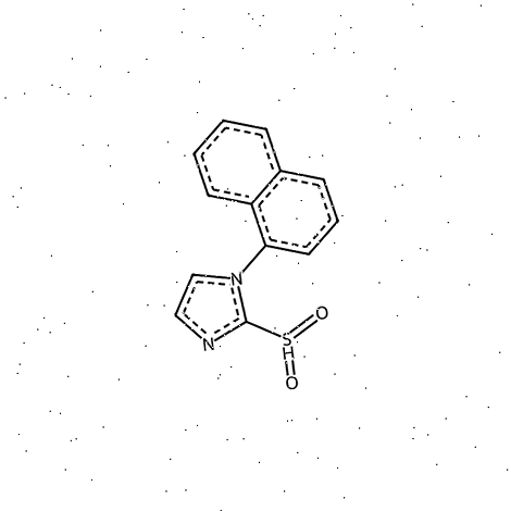 O=[SH](=O)c1nccn1-c1cccc2ccccc12